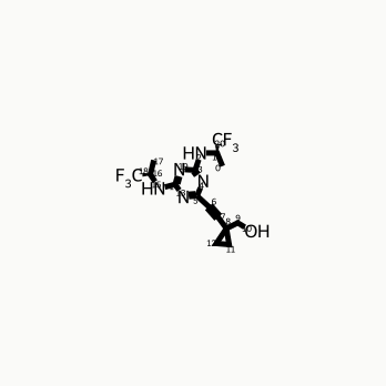 C[C@@H](Nc1nc(C#CC2(CO)CC2)nc(N[C@H](C)C(F)(F)F)n1)C(F)(F)F